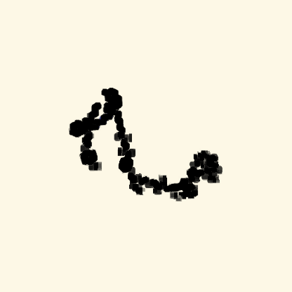 CCCCCC1(C)c2ccccc2N(CCCOc2ccc(O)cc2)C1/C=C/C=C/C=C1/N(CCCCCC(=O)NCCNC(=O)c2cccc(OCC(N=[N+]=[N-])OCCOCC(=O)NCC#Cc3cn(C4CC(OCN=[N+]=[N-])C(COP(=O)(O)OP(=O)(O)OP(=O)(O)O)O4)c4ncnc(N)c34)c2)c2ccc3ccc(C)cc3c2C1(C)C